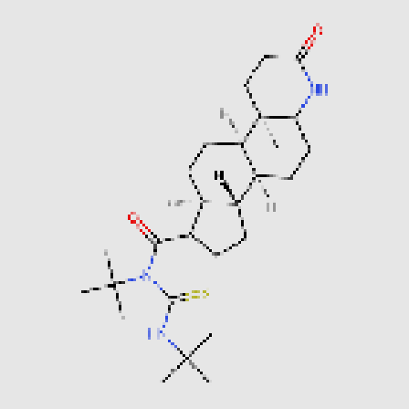 CC(C)(C)NC(=S)N(C(=O)C1CC[C@H]2[C@@H]3CCC4NC(=O)CC[C@]4(C)[C@@H]3CC[C@]12C)C(C)(C)C